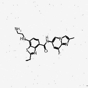 CCc1nc2c(C(=O)Nc3cc(F)c4nc(C)cn4c3)ccc(NCCN)c2s1